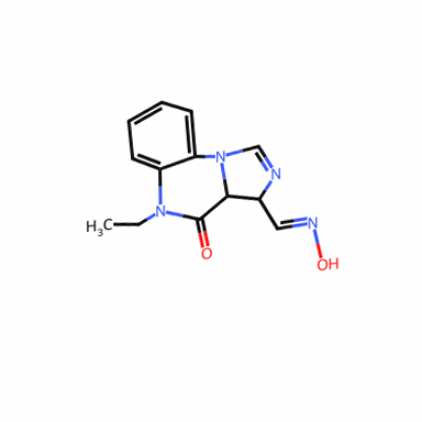 CCN1C(=O)C2C(C=NO)N=CN2c2ccccc21